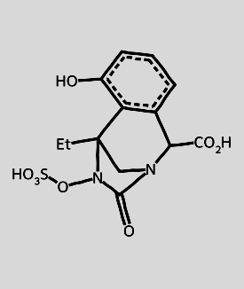 CCC12CN(C(=O)N1OS(=O)(=O)O)C(C(=O)O)c1cccc(O)c12